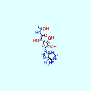 CC(O)NC(=O)C(O)[C@H]1O[C@@H](n2cnc3c(N)ncnc32)[C@H](O)[C@@H]1O